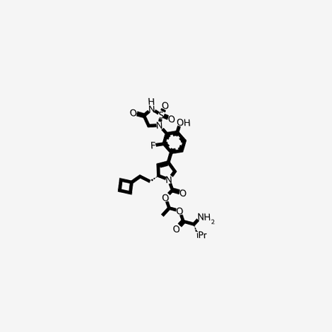 CC(OC(=O)[C@H](N)C(C)C)OC(=O)N1CC(c2ccc(O)c(N3CC(=O)NS3(=O)=O)c2F)=C[C@H]1CCC1CCC1